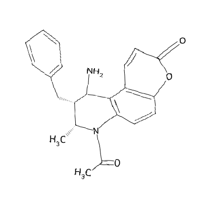 CC(=O)N1c2ccc3oc(=O)ccc3c2C(N)[C@@H](Cc2ccccc2)[C@H]1C